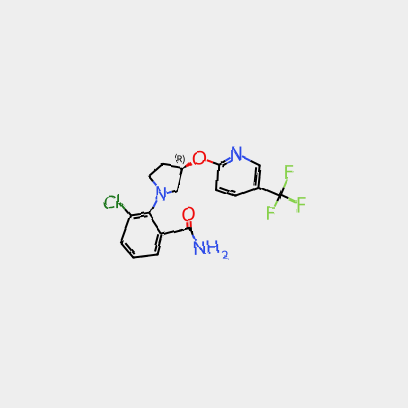 NC(=O)c1cccc(Cl)c1N1CC[C@@H](Oc2ccc(C(F)(F)F)cn2)C1